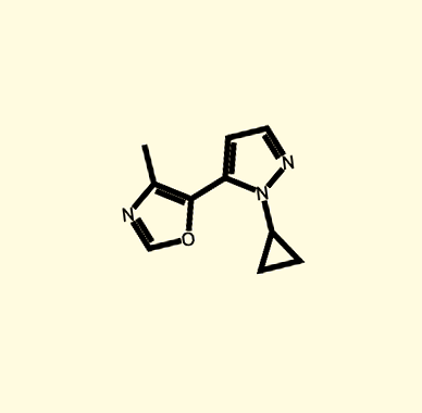 Cc1ncoc1-c1ccnn1C1CC1